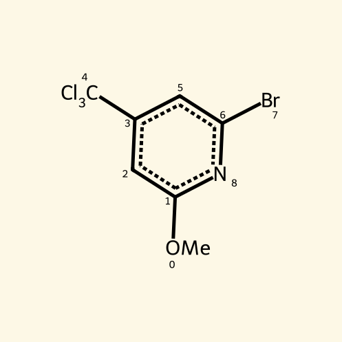 COc1cc(C(Cl)(Cl)Cl)cc(Br)n1